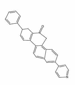 O=C1Cc2c(ccc3cc(-c4ccncc4)ccc23)C2=C1CC(c1ccccc1)C=C2